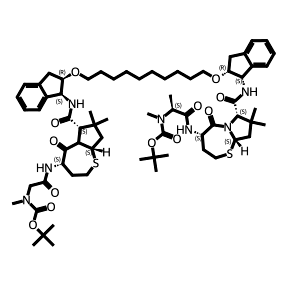 C[C@@H](C(=O)N[C@H]1CCS[C@H]2CC(C)(C)[C@@H](C(=O)N[C@H]3c4ccccc4C[C@H]3OCCCCCCCCCCO[C@@H]3Cc4ccccc4[C@@H]3NC(=O)[C@H]3C4C(=O)[C@@H](NC(=O)CN(C)C(=O)OC(C)(C)C)CCS[C@H]4CC3(C)C)N2C1=O)N(C)C(=O)OC(C)(C)C